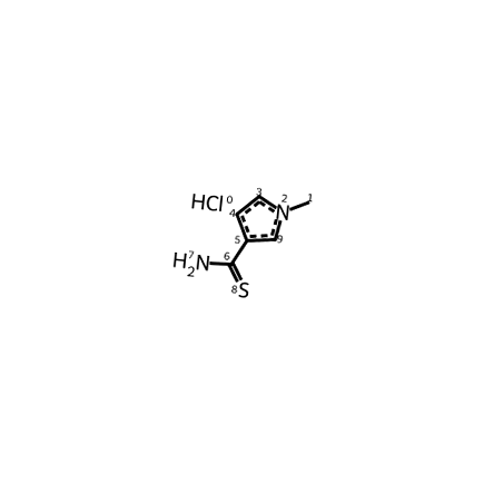 Cl.Cn1ccc(C(N)=S)c1